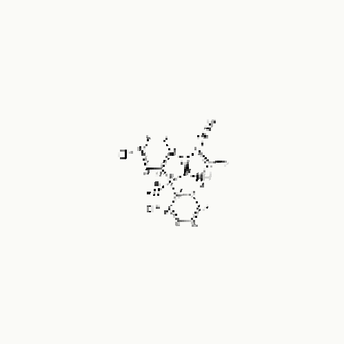 Cc1[nH]c2c(c1C#N)-c1ccc(Cl)cc1C2(O)c1ccccc1Cl